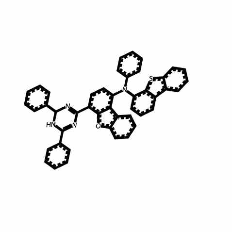 c1ccc(C2=NC(c3ccc(N(c4ccccc4)c4cccc5c4sc4ccccc45)c4c3oc3ccccc34)=NC(c3ccccc3)N2)cc1